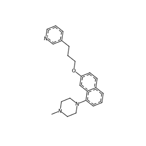 CN1CCN(c2cccc3ccc(OCCCc4cccnc4)cc23)CC1